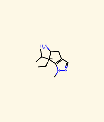 CC[C@]1(C(C)C)c2c(cnn2C)CC1N